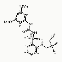 COc1cc(OC)nc(NC(=O)NS(=O)(=O)c2ccccc2OCC(C)(Br)CBr)n1